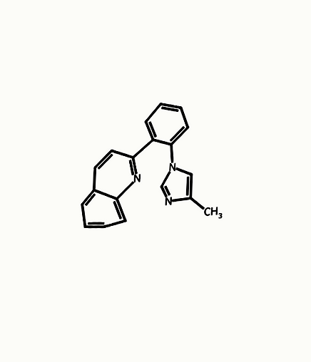 Cc1cn(-c2ccccc2-c2ccc3ccccc3n2)cn1